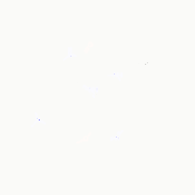 COc1c(F)cccc1Nc1c2[nH]c3c1C(=O)NCC3CCCN1CCCC(COc3cnccc3-2)C1